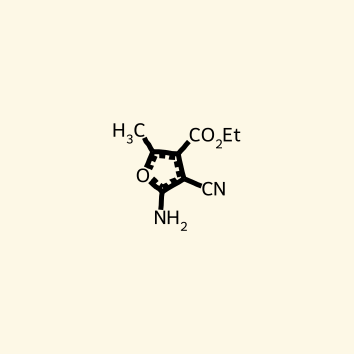 CCOC(=O)c1c(C)oc(N)c1C#N